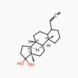 C=C=CC1CCC[C@@]2(C)C1CC[C@@H]1[C@@H]2CC[C@@]2(C)[C@H]1CCC2(O)O